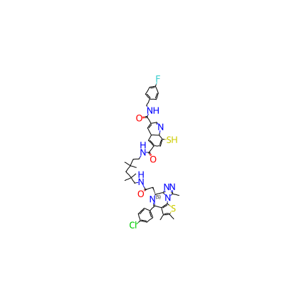 Cc1sc2c(c1C)C(c1ccc(Cl)cc1)=N[C@@H](CC(=O)NCC(C)(C)CC(C)(C)CCNC(=O)C1=CC3C=C(C(=O)NCc4ccc(F)cc4)C=NC3C(S)=C1)c1nnc(C)n1-2